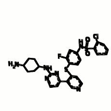 NC1CCC(Nc2nccc(-c3cnccc3Sc3ccc(NS(=O)(=O)c4ccccc4Cl)cc3F)n2)CC1